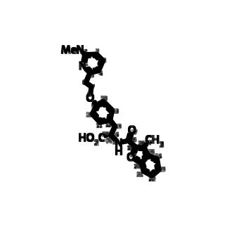 CNc1cccc(CCOc2ccc(C[C@H](NC(=O)c3oc4ccccc4c3C)C(=O)O)cc2)n1